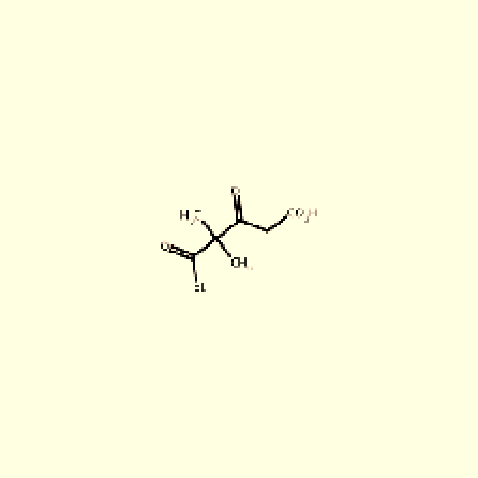 CCC(=O)C(C)(C)C(=O)CC(=O)O